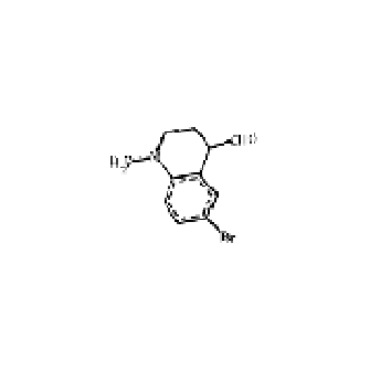 O=CC1CCN(P)c2ccc(Br)cc21